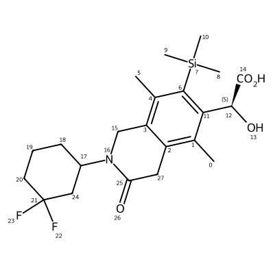 Cc1c2c(c(C)c([Si](C)(C)C)c1[C@H](O)C(=O)O)CN(C1CCCC(F)(F)C1)C(=O)C2